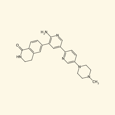 CN1CCN(c2ccc(-c3cnc(N)c(-c4ccc5c(c4)CCNC5=O)c3)nc2)CC1